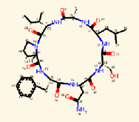 CCC(C)[C@@H]1NC(=O)[C@H](C)NC(=O)C(CC(C)C)NC(=O)[C@H](CO)NC(=O)C(CC(N)=O)NC(=O)[C@H](Cc2ccccc2)NC(=O)[C@@H]2CCCN2C1=O